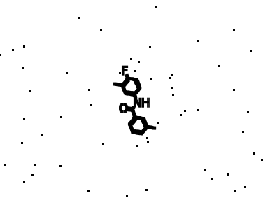 Cc1cccc(C(=O)Nc2ccc(F)c(C)c2)c1